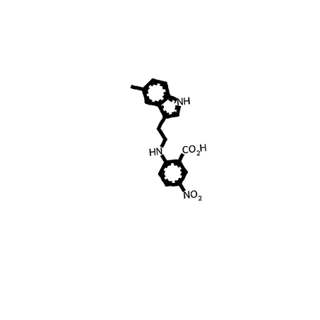 Cc1ccc2[nH]cc(CCNc3ccc([N+](=O)[O-])cc3C(=O)O)c2c1